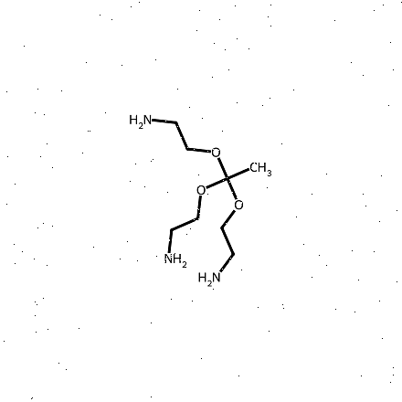 CC(OCCN)(OCCN)OCCN